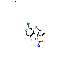 C=CC(OC(N)=O)(c1cc(Br)ccc1F)C(F)F